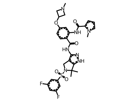 CN1CC(Oc2ccc(C(=O)Nc3n[nH]c4c3CN(S(=O)(=O)c3cc(F)cc(F)c3)C4(C)C)c(NC(=O)c3cccn3C)c2)C1